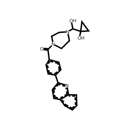 O=C(c1ccc(-c2ccc3ccccc3n2)cc1)N1CCN(C(O)C2(O)CC2)CC1